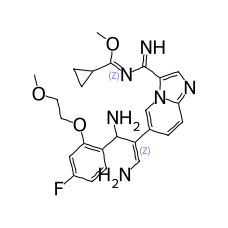 COCCOc1cc(F)ccc1C(N)/C(=C\N)c1ccc2ncc(C(=N)/N=C(\OC)C3CC3)n2c1